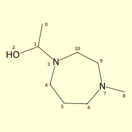 CC(O)N1CCCN(C)CC1